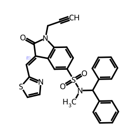 C#CCN1C(=O)/C(=C/c2nccs2)c2cc(S(=O)(=O)N(C)C(c3ccccc3)c3ccccc3)ccc21